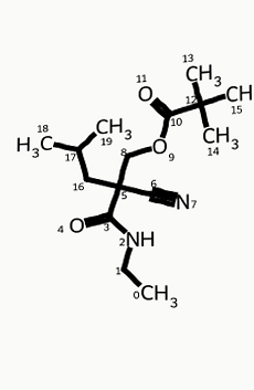 CCNC(=O)C(C#N)(COC(=O)C(C)(C)C)CC(C)C